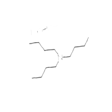 CCCCN(CCCC)CCCC.OO